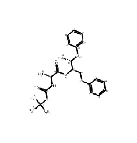 C[C@H](NC(=O)OC(C)(C)C)C(=O)O[C@H](COc1ccccc1)[C@H](C)Oc1ccccc1